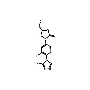 Cc1cncn1-c1ccc(N2CC(CO)OC2=O)cc1F